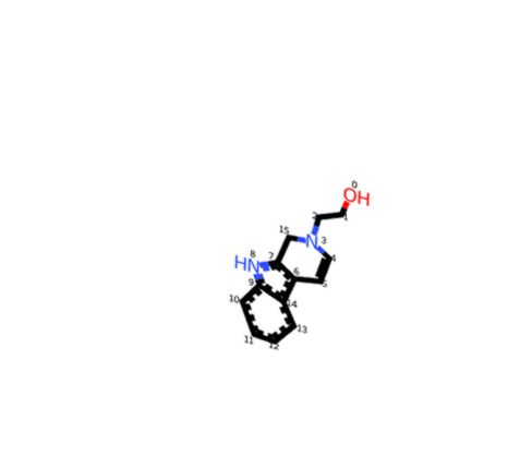 OCCN1C=Cc2c([nH]c3ccccc23)C1